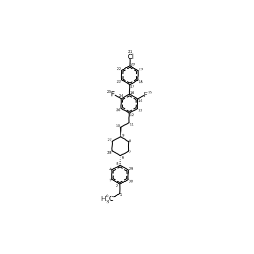 CCc1ccc([C@H]2CC[C@H](CCc3cc(F)c(-c4ccc(Cl)cc4)c(F)c3)CC2)cc1